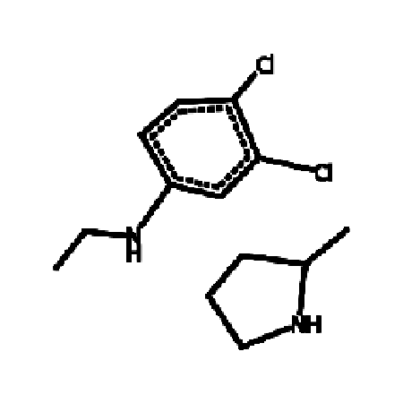 CC1CCCN1.CCNc1ccc(Cl)c(Cl)c1